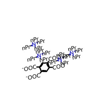 CCC[N+](CCC)(CCC)CCC.CCC[N+](CCC)(CCC)CCC.CCC[N+](CCC)(CCC)CCC.CCC[N+](CCC)(CCC)CCC.O=C([O-])c1cc(C(=O)[O-])c(C(=O)[O-])cc1C(=O)[O-]